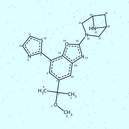 COC(C)(C)c1cc(-c2nccs2)c2oc(N3CC4CC(C3)N4)nc2c1